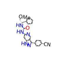 COC[C@@H](NC(=O)Nc1cc2[nH]nc(-c3ccc(C#N)cc3)c2cn1)c1ccccc1